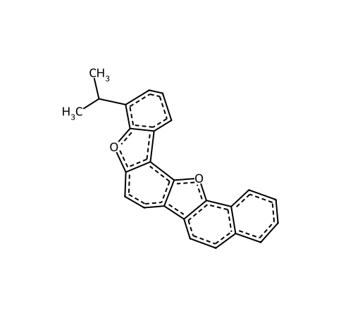 CC(C)c1cccc2c1oc1ccc3c4ccc5ccccc5c4oc3c12